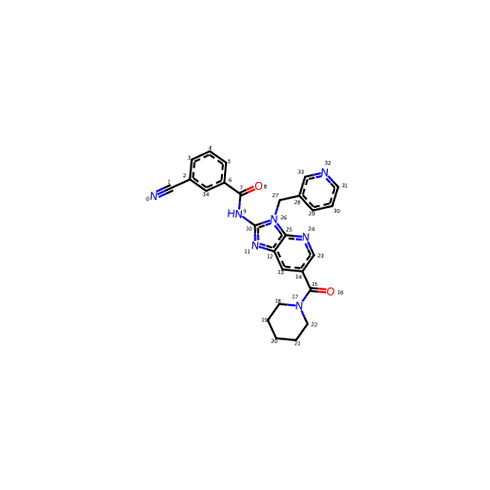 N#Cc1cccc(C(=O)Nc2nc3cc(C(=O)N4CCCCC4)cnc3n2Cc2cccnc2)c1